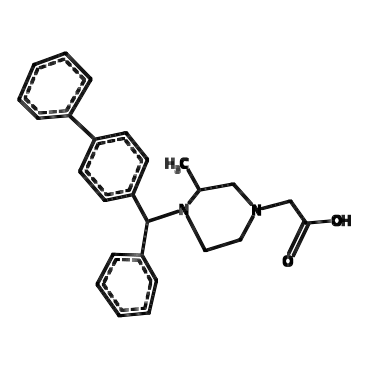 CC1CN(CC(=O)O)CCN1C(c1ccccc1)c1ccc(-c2ccccc2)cc1